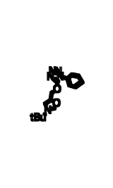 CC(C)(C)N1COC(COc2nnnn2-c2ccccc2)C1